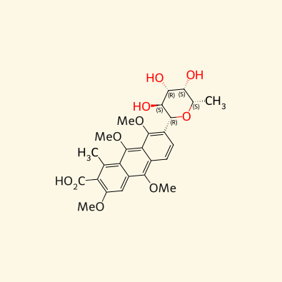 COc1cc2c(OC)c3ccc([C@H]4O[C@@H](C)[C@@H](O)[C@@H](O)[C@@H]4O)c(OC)c3c(OC)c2c(C)c1C(=O)O